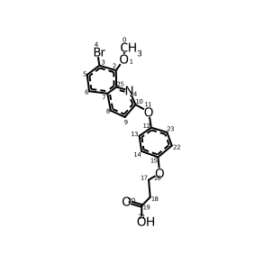 COc1c(Br)ccc2ccc(Oc3ccc(OCCC(=O)O)cc3)nc12